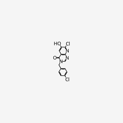 O=c1c2cc(O)c(Cl)nc2ncn1Cc1ccc(Cl)cc1